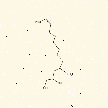 CCCCCC/C=C\CCCCCCC(CC(O)CO)C(=O)O